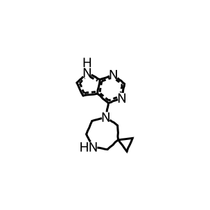 c1nc(N2CCNCC3(CC3)C2)c2cc[nH]c2n1